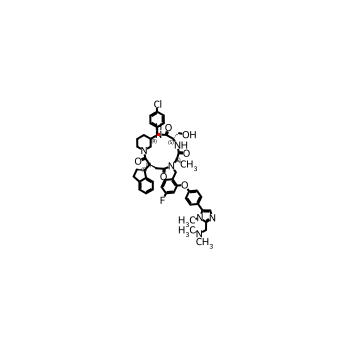 C[C@H]1C(=O)N[C@@H](CO)C(=O)N[C@@]2(Cc3ccc(Cl)cc3)CCCN(C2)C(=O)[C@H]([C@@H]2CCc3ccccc32)CC(=O)N1Cc1ccc(F)cc1Oc1ccc(-c2cnc(CN(C)C)n2C)cc1